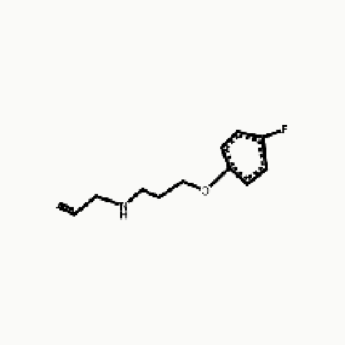 C=CCNCCCOc1ccc(F)cc1